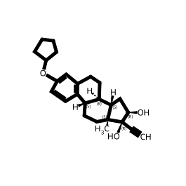 C#C[C@@]1(O)[C@H](O)C[C@H]2[C@@H]3CCc4cc(OC5CCCC5)ccc4[C@H]3CC[C@@]21C